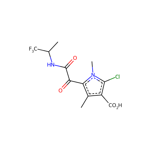 Cc1c(C(=O)O)c(Cl)n(C)c1C(=O)C(=O)NC(C)C(F)(F)F